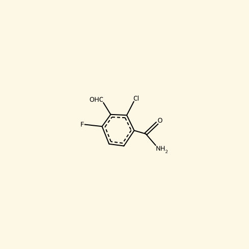 NC(=O)c1ccc(F)c(C=O)c1Cl